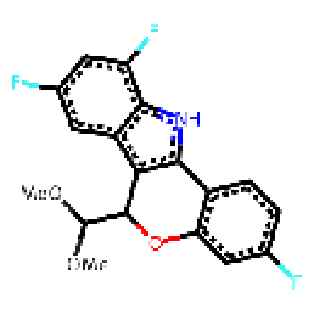 COC(OC)C1Oc2cc(F)ccc2-c2[nH]c3c(F)cc(F)cc3c21